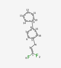 FC(F)=CCc1ccc(-c2ccccc2)cc1